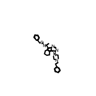 CC(=NOCc1ccccc1)c1c2ncnn(N3CCN(CCc4ccccc4)CC3)c-2c2c1CCCC2